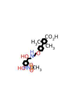 Cc1cc(C(=O)O)cc(C)c1-c1ccc(OCCNC[C@@H](O)c2ccc(O)c(NS(C)(=O)=O)c2)cc1